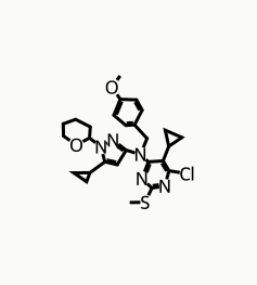 COc1ccc(CN(c2cc(C3CC3)n(C3CCCCO3)n2)c2nc(SC)nc(Cl)c2C2CC2)cc1